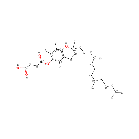 Cc1c(C)c2c(c(C)c1OC(=O)CCC(=O)O)CCC(C)(CCCC(C)CCCC(C)CCCC(C)C)O2